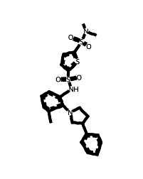 Cc1cccc(NS(=O)(=O)c2ccc(S(=O)(=O)N(C)C)s2)c1N1CCC(c2ccccc2)C1